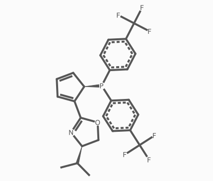 CC(C)[C@@H]1COC(C2=CC=C[C@H]2P(c2ccc(C(F)(F)F)cc2)c2ccc(C(F)(F)F)cc2)=N1